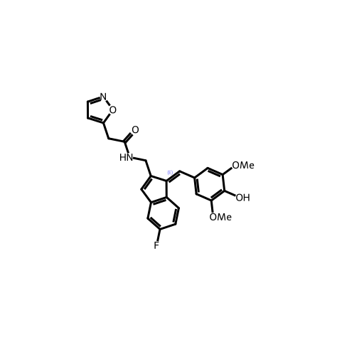 COc1cc(/C=C2/C(CNC(=O)Cc3ccno3)=Cc3cc(F)ccc32)cc(OC)c1O